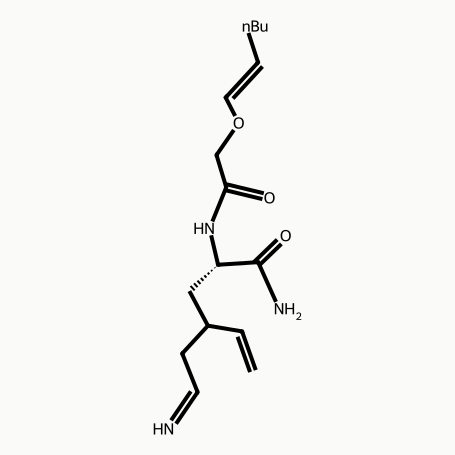 C=CC(CC=N)C[C@H](NC(=O)CO/C=C/CCCC)C(N)=O